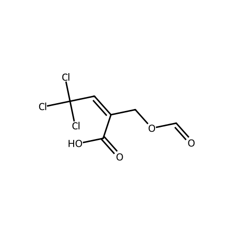 O=COCC(=CC(Cl)(Cl)Cl)C(=O)O